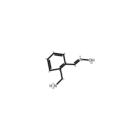 NCc1ccc[c]c1C=NO